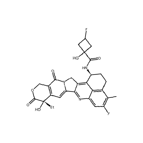 CC[C@@]1(O)C(=O)OCc2c1cc1n(c2=O)Cc2c-1nc1cc(F)c(C)c3c1c2[C@@H](NC(=O)C1(O)CC(F)C1)CC3